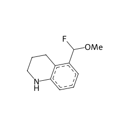 COC(F)c1cccc2c1CCCN2